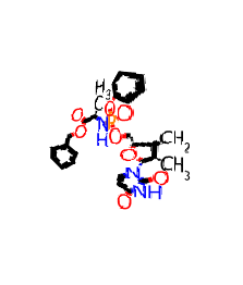 C=C1[C@@H](COP(=O)(N[C@H](C)C(=O)OCc2ccccc2)Oc2ccccc2)O[C@@H](n2ccc(=O)[nH]c2=O)[C@H]1C